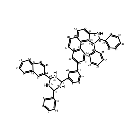 c1ccc(C2NC(c3cccc(-c4ccc5c(ccc6ccc7c(c65)N(c5ccccc5)C(c5ccccc5)N7)c4)c3)NC(c3ccc4ccccc4c3)N2)cc1